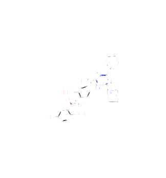 O=C(Nc1ccc(Nc2nc(N3CCCCC3)nc(N3CCCCC3)n2)cc1O)c1cc(Br)ccc1O